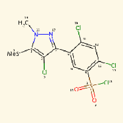 CSc1c(Cl)c(-c2cc(S(=O)(=O)Cl)c(Cl)cc2Cl)nn1C